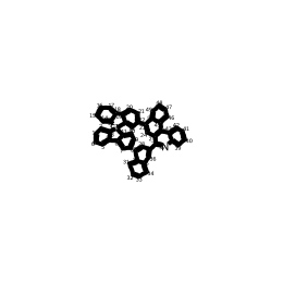 c1ccc2c(c1)-c1ccccc1[Si]21c2ccccc2-c2ccc(-c3cc4c(-c5ccc6ccccc6c5)nc5ccccc5c4c4ccccc34)cc21